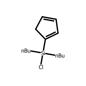 CCCC[Si](Cl)(CCCC)C1=CC=CC1